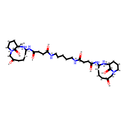 O=C1CCCC(NC(=O)CCC(=O)NCCCCCNC(=O)CCC(=O)NC2CCCC(=O)CN3CCC[C@@H](N2)C3=O)N[C@@H]2CCCN(C1)C2=O